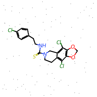 S=C(NCCc1ccc(Cl)cc1)N1CCc2c(Cl)c3c(c(Cl)c2C1)OCO3